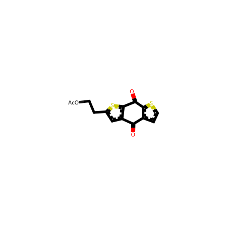 CC(=O)OCCc1cc2c(s1)C(=O)c1sccc1C2=O